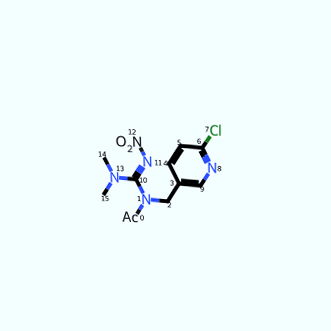 CC(=O)N(Cc1ccc(Cl)nc1)C(=N[N+](=O)[O-])N(C)C